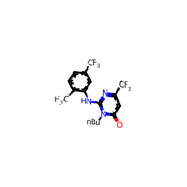 CCCCn1c(Nc2cc(C(F)(F)F)ccc2C(F)(F)F)nc(C(F)(F)F)cc1=O